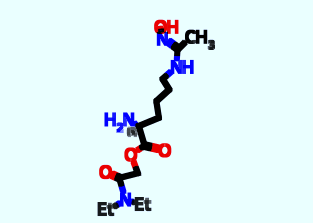 CCN(CC)C(=O)COC(=O)[C@@H](N)CCCCNC(C)=NO